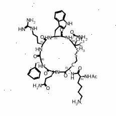 CC(=O)N[C@@H](CCCCN)C(=O)N[C@H]1CCSSC(C)(C)[C@@H](C(N)=O)NC(=O)[C@H](Cc2c[nH]c3ccccc23)NC(=O)[C@H](CCCNC(=N)N)NC(=O)[C@@H](Cc2ccccc2)NC(=O)[C@H](CCC(N)=O)NC1=O